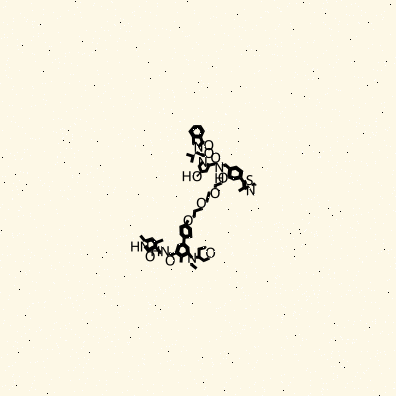 CCN(c1cc(-c2ccc(OCCCOCCOCCOc3cc(-c4scnc4C)ccc3CNC(=O)C3C[C@@H](O)CN3C(=O)[C@H](C(C)C)N3Cc4ccccc4C3=O)cc2)cc(C(=O)NCc2c(C)cc(C)[nH]c2=O)c1C)C1CCOCC1